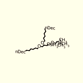 CCCCCCCCCCCCCCCCOCC(CO[SiH2]OCC[N+](C)(C)C)OCCCCCCCCCCCCCCCC